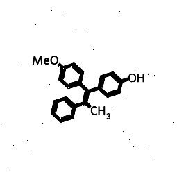 COc1ccc(C(=C(C)c2ccccc2)c2ccc(O)cc2)cc1